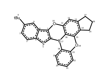 CC(C)(C)c1ccc2sc3c(c2c1)Oc1cc2c(c4c1B3c1ccccc1O4)CCC2